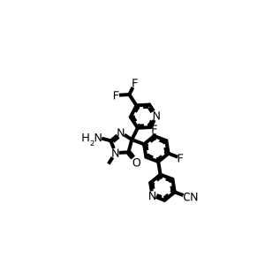 CN1C(=O)C(c2cncc(C(F)F)c2)(c2cc(-c3cncc(C#N)c3)c(F)cc2F)N=C1N